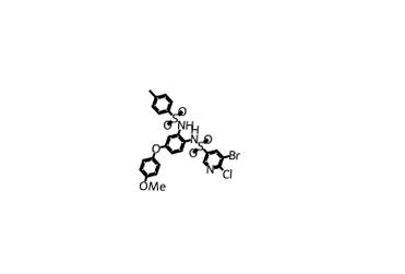 COc1ccc(Oc2ccc(NS(=O)(=O)c3cnc(Cl)c(Br)c3)c(NS(=O)(=O)c3ccc(C)cc3)c2)cc1